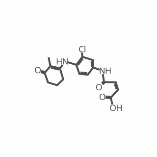 CC1=C(Nc2ccc(NC(=O)/C=C\C(=O)O)cc2Cl)CCCC1=O